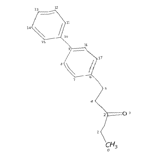 CCC(=O)CCc1ccc(-c2ccccc2)cc1